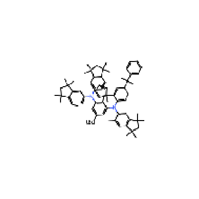 C=C(/C=C1\C(=C/C)C(C)(C)CC1(C)C)N(c1ccc2c(c1)C(C)(C)CC2(C)C)c1cc(C(C)(C)C)cc(N(C2=CCC(C(C)(C)c3ccccc3)C=C2C2(C)C=CC=C2)c2cc3c(cc2C)C(C)(C)CC3(C)C)c1C